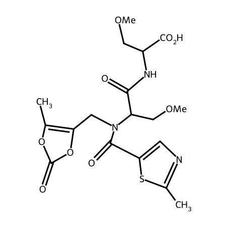 COCC(NC(=O)C(COC)N(Cc1oc(=O)oc1C)C(=O)c1cnc(C)s1)C(=O)O